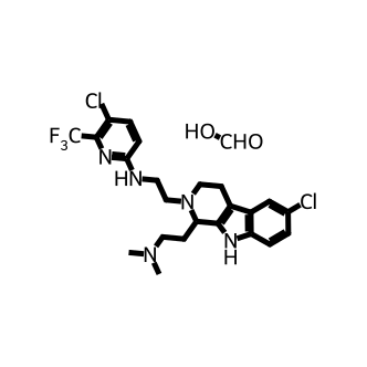 CN(C)CCC1c2[nH]c3ccc(Cl)cc3c2CCN1CCNc1ccc(Cl)c(C(F)(F)F)n1.O=CO